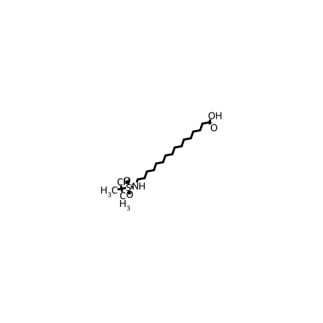 CC(C)(C)S(=O)(=O)NCCCCCCCCCCCCCCCC(=O)O